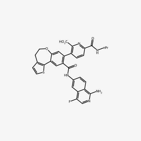 CCCNC(=O)c1ccc(-c2cc3c(cc2C(=O)Nc2ccc4c(N)ncc(F)c4c2)-c2sccc2CCO3)c(C(=O)O)n1